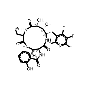 CC(C)CC1NC(=O)[C@H](C)[C@H](O)[C@H](Cc2c(F)nc(F)c(F)c2F)NC(=O)[C@@H](NC(=O)c2ccccc2O)[C@@H](C)NC1=O